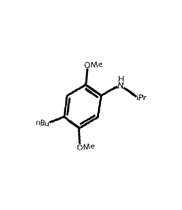 CCCCc1cc(OC)c(NC(C)C)cc1OC